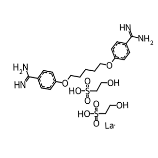 N=C(N)c1ccc(OCCCCCOc2ccc(C(=N)N)cc2)cc1.O=S(=O)(O)CCO.O=S(=O)(O)CCO.[La]